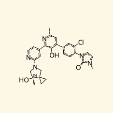 Cc1cc(-c2ccc(-n3ccn(C)c3=O)c(Cl)c2)c(O)c(-c2ccnc(N3CC4(CC4)[C@](C)(O)C3)c2)n1